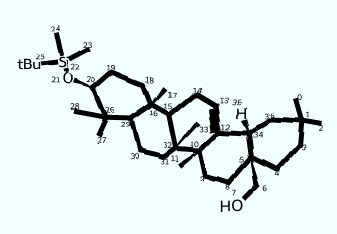 CC1(C)CC[C@]2(CO)CC[C@@]3(C)C(=CCC4[C@@]5(C)CC[C@H](O[Si](C)(C)C(C)(C)C)C(C)(C)C5CC[C@]43C)[C@@H]2C1